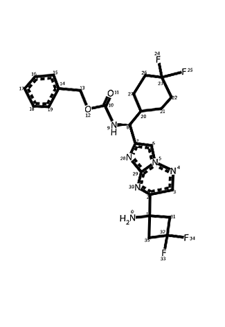 NC1(c2cnn3cc([C@@H](NC(=O)OCc4ccccc4)C4CCC(F)(F)CC4)nc3n2)CC(F)(F)C1